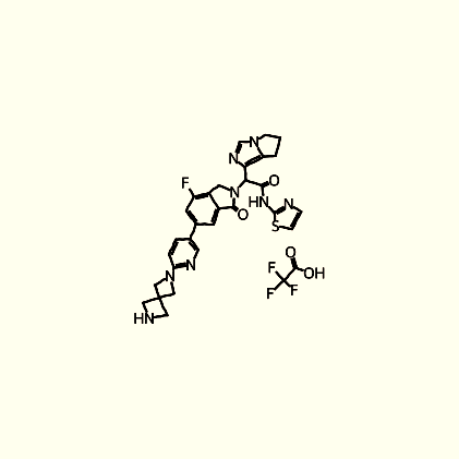 O=C(Nc1nccs1)C(c1ncn2c1CCC2)N1Cc2c(F)cc(-c3ccc(N4CC5(CNC5)C4)nc3)cc2C1=O.O=C(O)C(F)(F)F